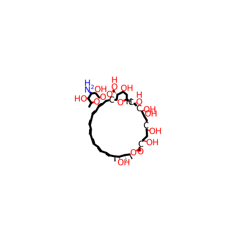 CC1OC(O[C@H]2/C=C/C=C/C=C/C=C/C=C/C=C/C=C/[C@H](C)[C@@H](O)[C@@H](C)[C@H](C)OC(=O)C[C@H](O)C[C@H](O)CC[C@@H](O)[C@H](O)C[C@H](O)C[C@@H]3C[C@H](O)[C@@H](C(=O)O)C(C2)O3)C(O)C(N)C1O